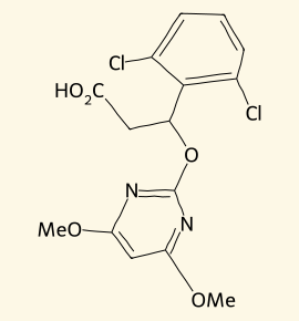 COc1cc(OC)nc(OC(CC(=O)O)c2c(Cl)cccc2Cl)n1